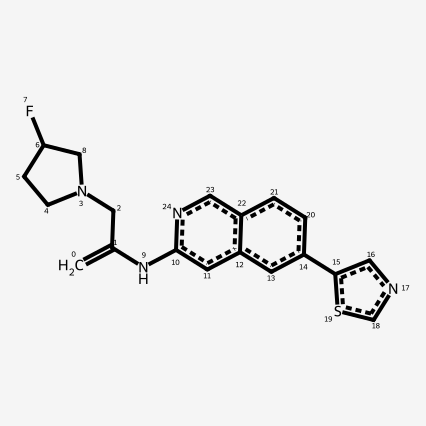 C=C(CN1CCC(F)C1)Nc1cc2cc(-c3cncs3)ccc2cn1